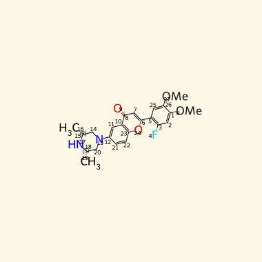 COc1cc(F)c(-c2cc(=O)c3cc(N4C[C@@H](C)N[C@@H](C)C4)ccc3o2)cc1OC